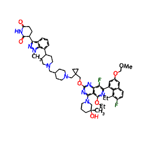 CCOc1nc(-c2cc(OCOC)cc3ccc(F)c(CC)c23)c(F)c2nc(OCC3(CN4CCC(CN5CCC(c6cccc7c(C8CCC(=O)NC8=O)nn(C)c67)CC5)CC4)CC3)nc(N3CCC[C@@](C)(O)C3)c12